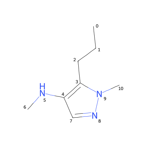 CCCc1c(NC)cnn1C